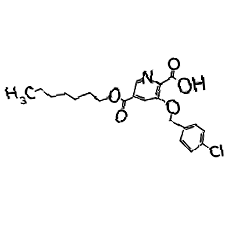 CCCCCCCOC(=O)c1cnc(C(=O)O)c(OCc2ccc(Cl)cc2)c1